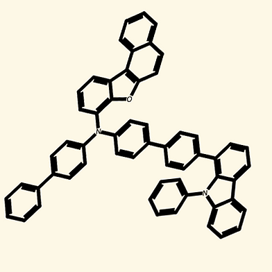 c1ccc(-c2ccc(N(c3ccc(-c4ccc(-c5cccc6c7ccccc7n(-c7ccccc7)c56)cc4)cc3)c3cccc4c3oc3ccc5ccccc5c34)cc2)cc1